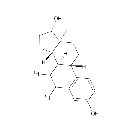 [3H]C1c2cc(O)ccc2[C@H]2CC[C@]3(C)[C@@H](O)CC[C@H]3[C@@H]2C1[3H]